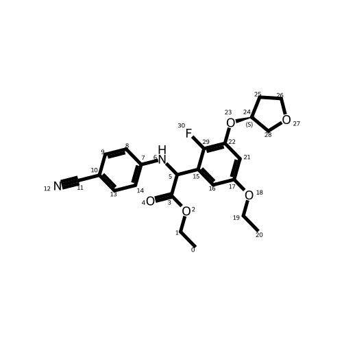 CCOC(=O)C(Nc1ccc(C#N)cc1)c1cc(OCC)cc(O[C@H]2CCOC2)c1F